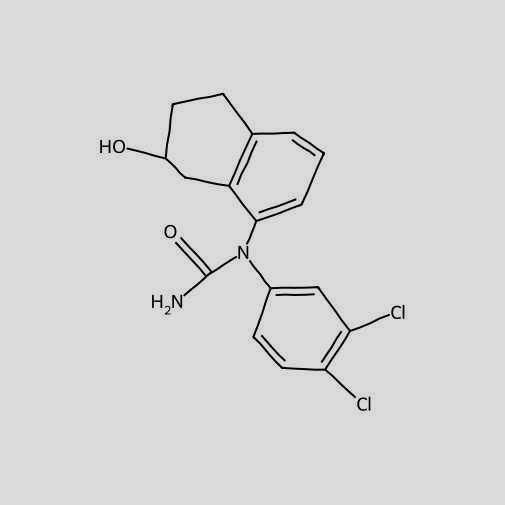 NC(=O)N(c1ccc(Cl)c(Cl)c1)c1cccc2c1CC(O)CC2